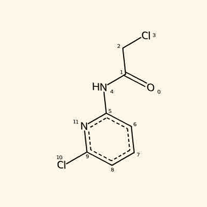 O=C(CCl)Nc1cccc(Cl)n1